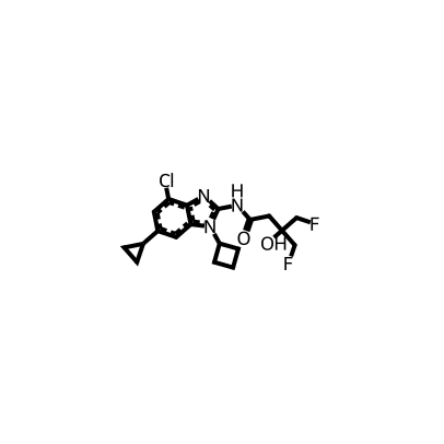 O=C(CC(O)(CF)CF)Nc1nc2c(Cl)cc(C3CC3)cc2n1C1CCC1